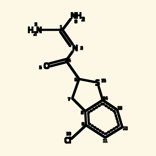 NC(N)=NC(=O)C1Cc2c(Cl)cccc2S1